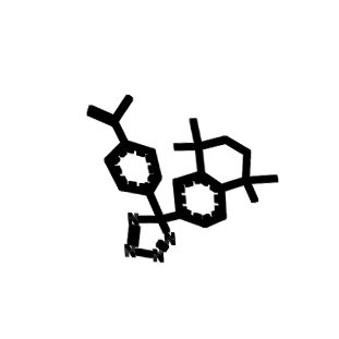 C=C(C)c1ccc(C2(c3ccc4c(c3)C(C)(C)CCC4(C)C)N=NN=N2)cc1